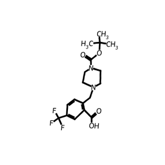 CC(C)(C)OC(=O)N1CCN(Cc2ccc(C(F)(F)F)cc2C(=O)O)CC1